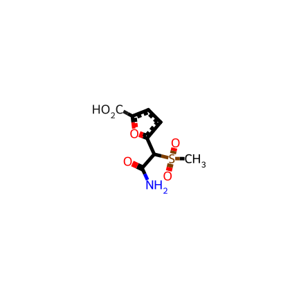 CS(=O)(=O)C(C(N)=O)c1ccc(C(=O)O)o1